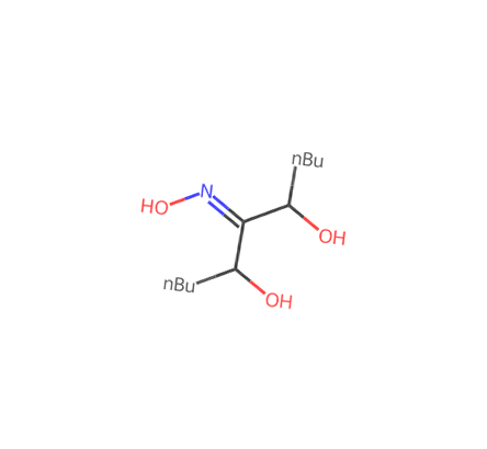 CCCCC(O)C(=NO)C(O)CCCC